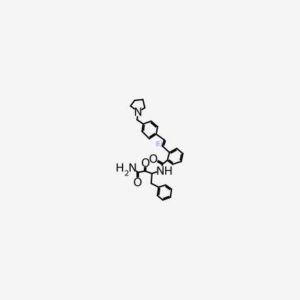 NC(=O)C(=O)C(Cc1ccccc1)NC(=O)c1ccccc1/C=C/c1ccc(CN2CCCC2)cc1